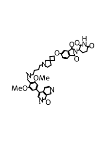 COc1cc(-c2cn(C)c(=O)c3cnccc23)cc(OC)c1CN(C)CCCCN1CCC2(CC(Oc3ccc4c(c3)C(=O)N(C3CCC(=O)NC3=O)C4=O)C2)C1